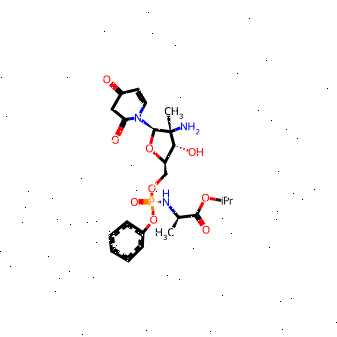 CC(C)OC(=O)[C@@H](C)N[P@](=O)(OC[C@H]1O[C@@H](N2C=CC(=O)CC2=O)[C@](C)(N)[C@@H]1O)Oc1ccccc1